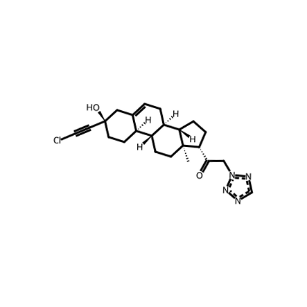 C[C@]12CC[C@H]3[C@@H](CC=C4C[C@@](O)(C#CCl)CC[C@@H]43)[C@@H]1CC[C@@H]2C(=O)Cn1ncnn1